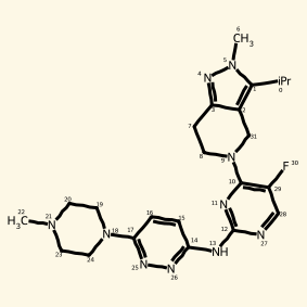 CC(C)c1c2c(nn1C)CCN(c1nc(Nc3ccc(N4CCN(C)CC4)nn3)ncc1F)C2